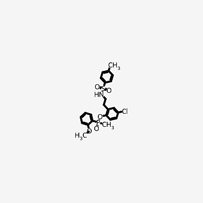 COc1ccccc1P(C)(=O)Oc1ccc(Cl)cc1CCNS(=O)(=O)c1ccc(C)cc1